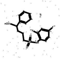 CCCCCCCCC(CCCS(=O)(=O)Nc1ccc(F)[c]c1F)c1ccccc1.[Ti]